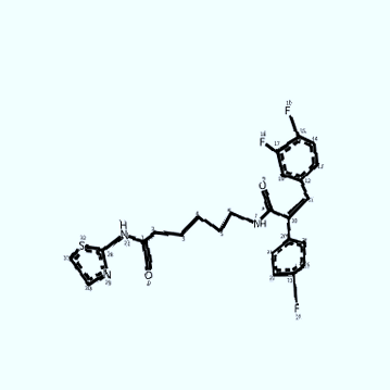 O=C(CCCCCNC(=O)C(=Cc1ccc(F)c(F)c1)c1ccc(F)cc1)Nc1nccs1